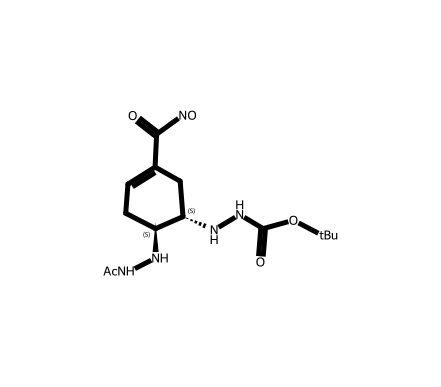 CC(=O)NN[C@H]1CC=C(C(=O)N=O)C[C@@H]1NNC(=O)OC(C)(C)C